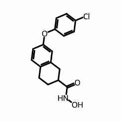 O=C(NO)C1CCc2ccc(Oc3ccc(Cl)cc3)cc2C1